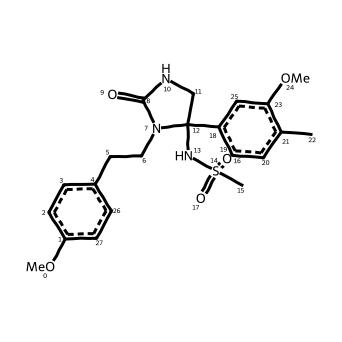 COc1ccc(CCN2C(=O)NCC2(NS(C)(=O)=O)c2ccc(C)c(OC)c2)cc1